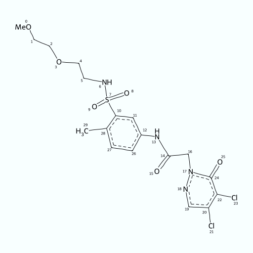 COCCOCCNS(=O)(=O)c1cc(NC(=O)Cn2ncc(Cl)c(Cl)c2=O)ccc1C